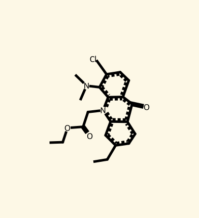 CCOC(=O)Cn1c2cc(CC)ccc2c(=O)c2ccc(Cl)c(N(C)C)c21